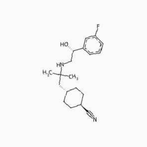 CC(C)(C[C@H]1CC[C@H](C#N)CC1)NC[C@H](O)c1cccc(F)c1